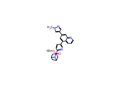 Cn1cc(-c2cc(-c3ccc(N4CC5CC(C4)N5C(=O)OC(C)(C)C)nc3)c3cccnc3c2)cn1